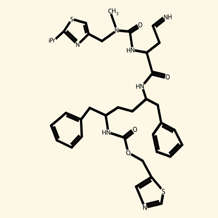 CC(C)c1nc(CN(C)C(=O)NC(CC=N)C(=O)NC(CCC(Cc2ccccc2)NC(=O)OCc2cncs2)Cc2ccccc2)cs1